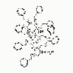 C[C@H]1O[C@@H]([C@]2(O)[C@H](OCc3ccccc3)[C@@H](OCc3ccccc3)[C@H](O[C@@H]3[C@@H](COCc4ccccc4)N(C(=O)O)C[C@H]3OCc3ccccc3)O[C@@H]2COCc2ccccc2)[C@H](OCc2ccccc2)[C@@H](OCc2ccccc2)[C@@H]1OCc1ccccc1